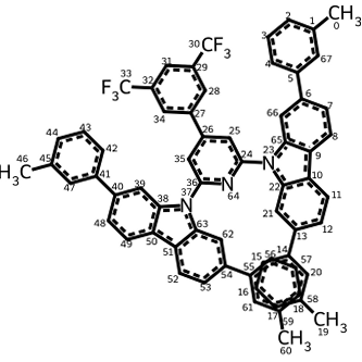 Cc1cccc(-c2ccc3c4ccc(-c5cccc(C)c5)cc4n(-c4cc(-c5cc(C(F)(F)F)cc(C(F)(F)F)c5)cc(-n5c6cc(-c7cccc(C)c7)ccc6c6ccc(-c7cccc(C)c7)cc65)n4)c3c2)c1